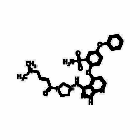 CN(C)CC=CC(=O)N1CC[C@@H](Nc2n[nH]c3nccc(Oc4ccc(Oc5ccccc5)cc4S(N)(=O)=O)c23)C1